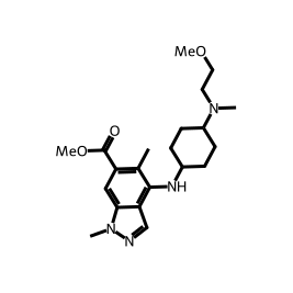 COCCN(C)C1CCC(Nc2c(C)c(C(=O)OC)cc3c2cnn3C)CC1